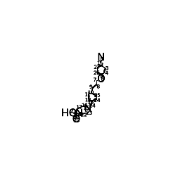 N#Cc1ccc(OCC=Cc2ccc(CN3CCN(C(=O)O)CC3)cc2)cc1